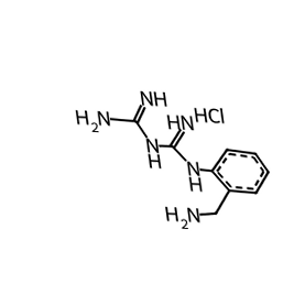 Cl.N=C(N)NC(=N)Nc1ccccc1CN